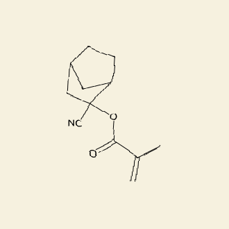 C=C(C)C(=O)OC1(C#N)CC2CCC1C2